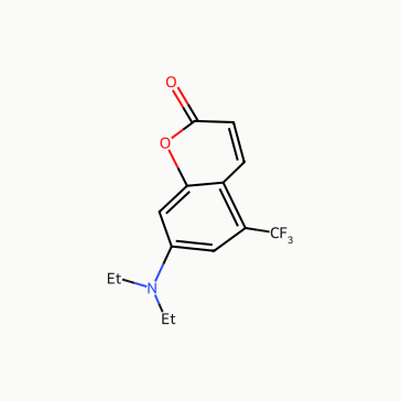 CCN(CC)c1cc(C(F)(F)F)c2ccc(=O)oc2c1